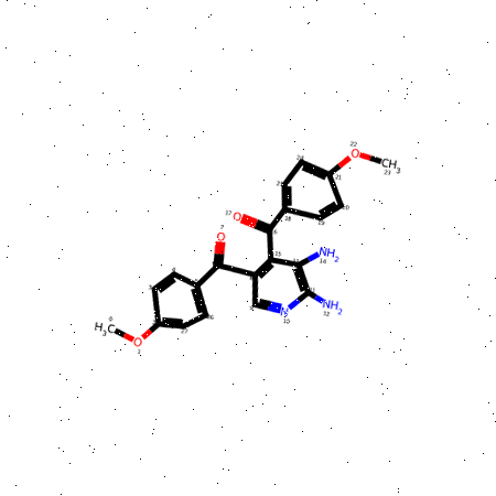 COc1ccc(C(=O)c2cnc(N)c(N)c2C(=O)c2ccc(OC)cc2)cc1